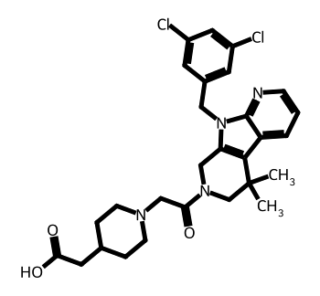 CC1(C)CN(C(=O)CN2CCC(CC(=O)O)CC2)Cc2c1c1cccnc1n2Cc1cc(Cl)cc(Cl)c1